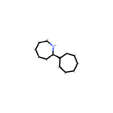 C1CCCC(C2CCCCC[N]2)CC1